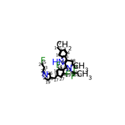 C=Cc1ccc2c3c([nH]c2c1)C(c1c(F)cc(CC2CCN(CCCF)C2)cc1F)N(CC(C)(F)F)[C@H](C)C3